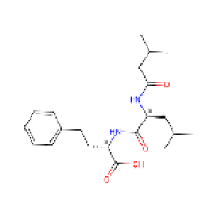 CC(C)CC(=O)N[C@@H](CC(C)C)C(=O)N[C@@H](CCc1ccccc1)C(=O)O